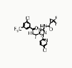 CC(NC(=O)c1cc(Cl)cc(C(F)(F)F)c1)c1nc(NC(=O)C2CC2(F)F)nn1-c1ccc(Cl)cn1